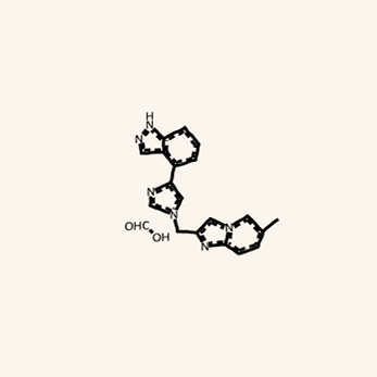 Cc1ccc2nc(Cn3cnc(-c4cccc5[nH]ncc45)c3)cn2c1.O=CO